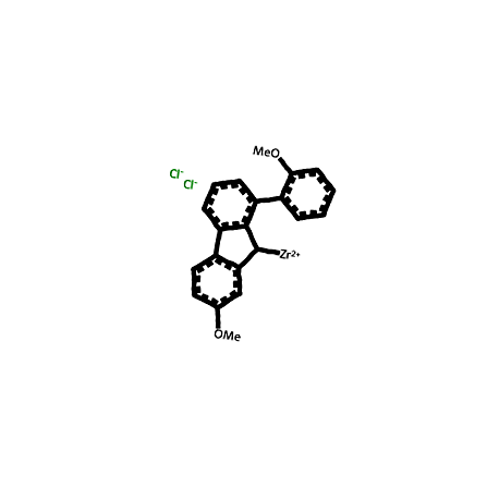 COc1ccc2c(c1)[CH]([Zr+2])c1c(-c3ccccc3OC)cccc1-2.[Cl-].[Cl-]